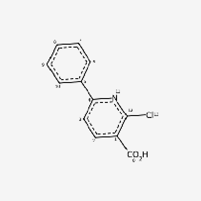 O=C(O)c1ccc(-c2ccccc2)nc1Cl